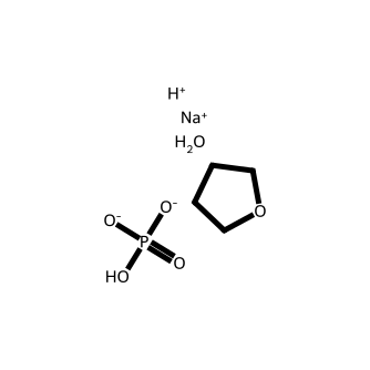 C1CCOC1.O.O=P([O-])([O-])O.[H+].[Na+]